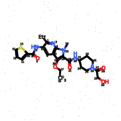 CCc1nc2c(cc1NC(=O)c1cccs1)c(OCC(F)(F)F)c(C(=O)NC1CCN(C(=O)CO)CC1)n2C